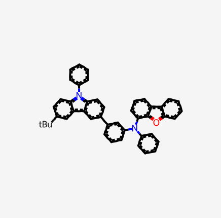 CC(C)(C)c1ccc2c(c1)c1cc(-c3cccc(N(c4ccccc4)c4cccc5c4oc4ccccc45)c3)ccc1n2-c1ccccc1